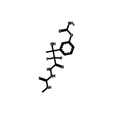 CNC(=S)NNC(=O)C(F)(F)C(C)(O)c1cccc(OC(N)=O)c1